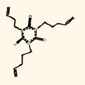 C=CCCCn1c(=O)n(CCC=C)c(=O)n(CCCC=C)c1=O